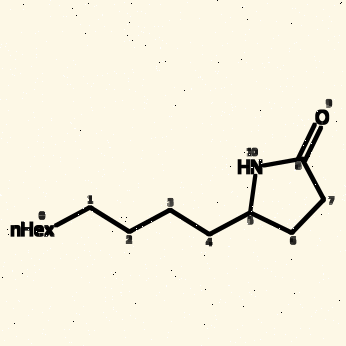 CCCCCCCCCCC1CCC(=O)N1